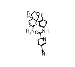 N#Cc1ccc(C(=O)Nc2ccc(F)c([C@]34COC[C@@H](F)[C@H]3CSC(N)=N4)c2)nc1